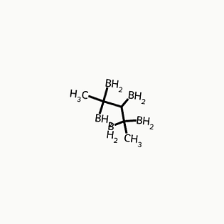 BC(C(B)(B)C)C(B)(B)C